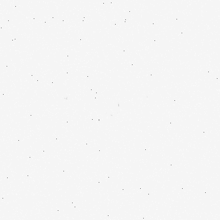 CC(CCC(=O)O)Cc1ccc(C(=O)C2CCC(CN)CC2)cc1